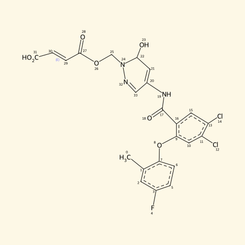 Cc1cc(F)ccc1Oc1cc(Cl)c(Cl)cc1C(=O)NC1=CC(O)N(COC(=O)/C=C/C(=O)O)N=C1